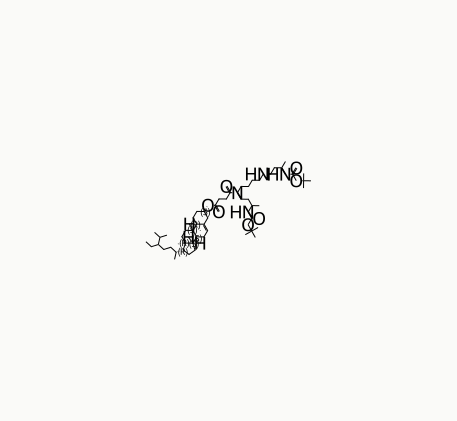 CCC(CCC(C)[C@H]1CC[C@H]2[C@@H]3CC=C4C[C@@H](OC(=O)CCC(=O)N(CCCCNCCC(C)NC(=O)OC(C)(C)C)CCC(C)NC(=O)OC(C)(C)C)CC[C@]4(C)[C@H]3CC[C@]12C)C(C)C